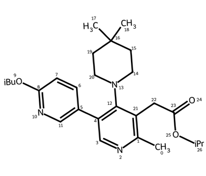 Cc1ncc(-c2ccc(OCC(C)C)nc2)c(N2CCC(C)(C)CC2)c1CC(=O)OC(C)C